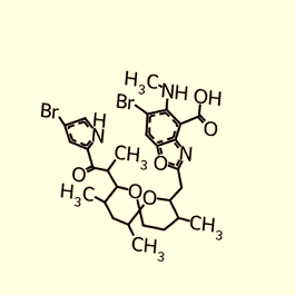 CNc1c(Br)cc2oc(CC3OC4(CCC3C)OC(C(C)C(=O)c3cc(Br)c[nH]3)C(C)CC4C)nc2c1C(=O)O